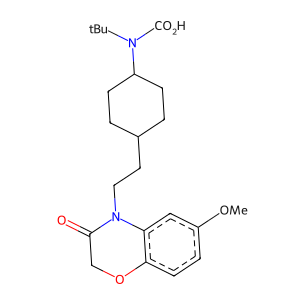 COc1ccc2c(c1)N(CCC1CCC(N(C(=O)O)C(C)(C)C)CC1)C(=O)CO2